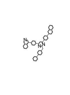 c1ccc(-c2ccc(Cc3nc(-c4ccc(-c5ccc6ccccc6c5)cc4)cc(-c4ccc(-c5cncc6ccccc56)cc4)n3)cc2)cc1